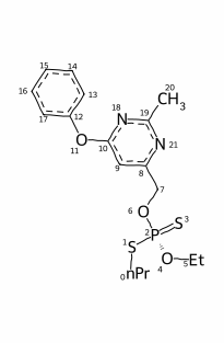 CCCS[P@@](=S)(OCC)OCc1cc(Oc2ccccc2)nc(C)n1